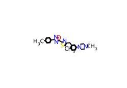 Cc1ccc(-c2noc(-c3nc(Cc4cccc(N5CCN(C)CC5)c4)c(C)s3)n2)cc1